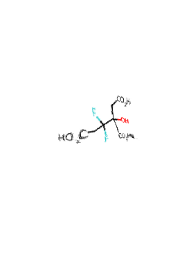 O=C(O)CC(O)(C(=O)O)C(F)(F)C(=O)O